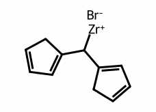 [Br-].[Zr+][CH](C1=CC=CC1)C1=CC=CC1